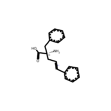 N[C@@](C/C=C/c1ccccc1)(Cc1ccccc1)C(=O)O